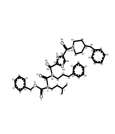 CC(C)CCN(C(=O)OCc1ccccc1)C(=O)N(CCCc1ccccc1)C(=O)c1nc(C(=O)N2CCC(Cc3ccccc3)CC2)co1